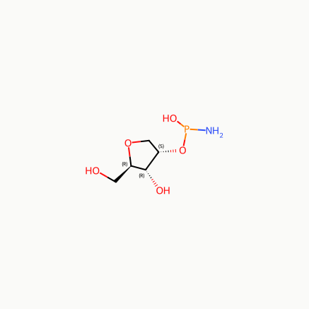 NP(O)O[C@H]1CO[C@H](CO)[C@H]1O